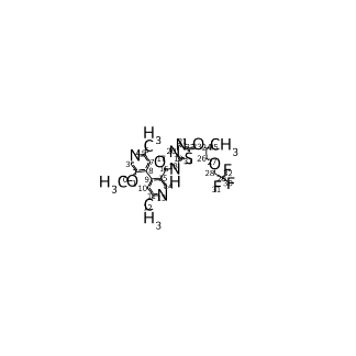 COc1cnc(C)cc1-c1cc(C)ncc1C(=O)Nc1nnc(OC(C)COCC(F)(F)F)s1